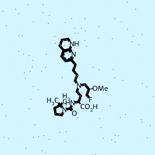 CO[C@H](CF)CN(CCCCc1ccc2c(n1)NCCC2)CC[C@H](NC(=O)N1CCCC1(C)C)C(=O)O